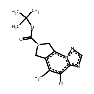 Cc1c2c(n3ncnc3c1Cl)CN(C(=O)OC(C)(C)C)C2